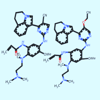 C=CC(=O)Nc1cc(Nc2ncc(C#N)c(-c3cn4c5c(cccc35)CCC4)n2)c(OC)cc1N(C)CCN(C)C.C=CC(=O)Nc1cc(Nc2ncc(OCC#N)c(-c3cn4c5c(cccc35)CCC4)n2)c(OC)cc1N(C)CCN(C)C